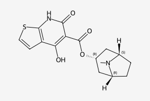 CN1[C@@H]2CC[C@H]1C[C@@H](OC(=O)c1c(O)c3ccsc3[nH]c1=O)C2